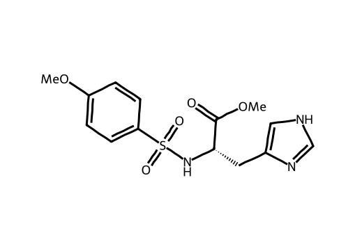 COC(=O)[C@H](Cc1c[nH]cn1)NS(=O)(=O)c1ccc(OC)cc1